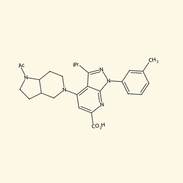 CC(=O)N1CCC2CN(c3cc(C(=O)O)nc4c3c(C(C)C)nn4-c3cccc(C)c3)CCC21